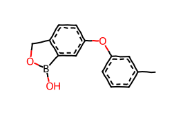 Cc1cccc(Oc2ccc3c(c2)B(O)OC3)c1